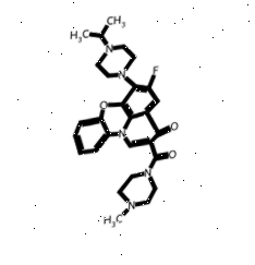 CC(C)N1CCN(c2c(F)cc3c(=O)c(C(=O)N4CCN(C)CC4)cn4c3c2Oc2ccccc2-4)CC1